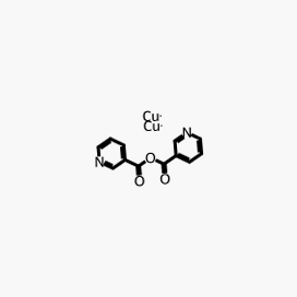 O=C(OC(=O)c1cccnc1)c1cccnc1.[Cu].[Cu]